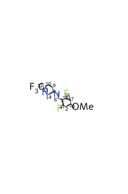 COc1cc(F)c(/C=N/c2ccc(C(F)(F)F)nc2)c(F)c1